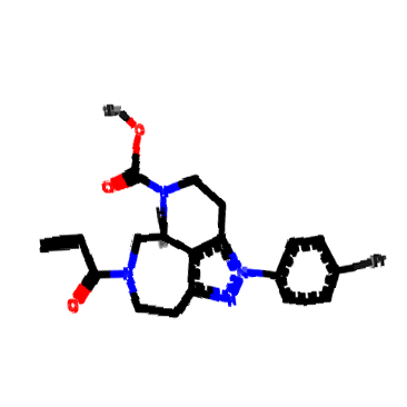 C=CC(=O)N1CCc2nn(-c3ccc(C(C)C)cc3)c3c2[C@H](C1)N(C(=O)OC(C)(C)C)CC3